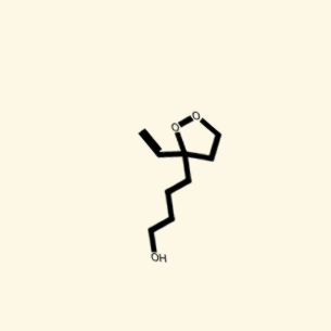 C=CC1(CCCCO)CCOO1